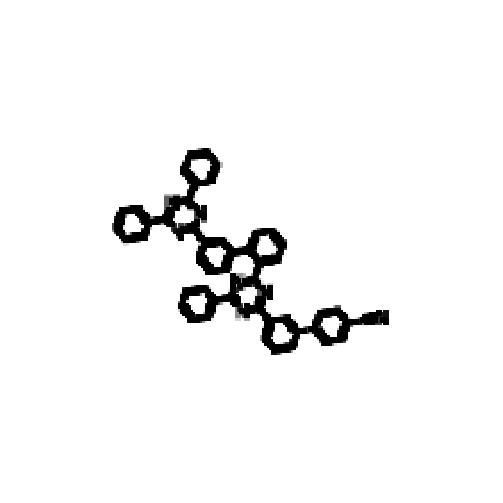 N#Cc1ccc(-c2cccc(-c3nc(-c4ccccc4)nc(-c4ccccc4-c4cccc(-c5nc(-c6ccccc6)nc(-c6ccccc6)n5)c4)n3)c2)cc1